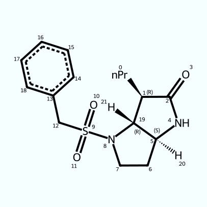 CCC[C@H]1C(=O)N[C@H]2CCN(S(=O)(=O)Cc3ccccc3)[C@@H]21